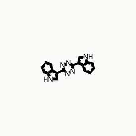 c1ccc2c(-c3nnc(-c4c[nH]c5ccccc45)nn3)c[nH]c2c1